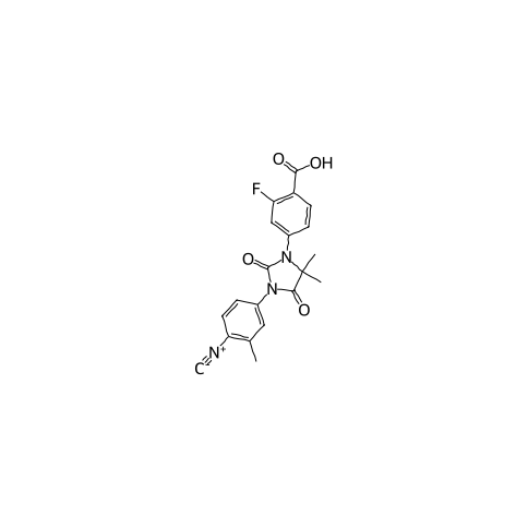 [C-]#[N+]c1ccc(N2C(=O)N(c3ccc(C(=O)O)c(F)c3)C(C)(C)C2=O)cc1C